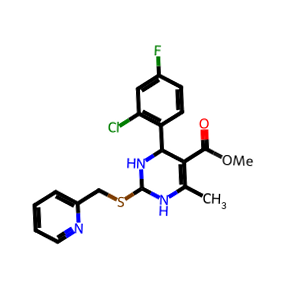 COC(=O)C1=C(C)NC(SCc2ccccn2)NC1c1ccc(F)cc1Cl